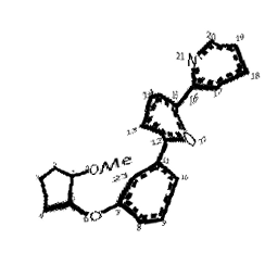 COC1CCCC1Oc1cccc(-c2ccc(-c3ccccn3)o2)c1